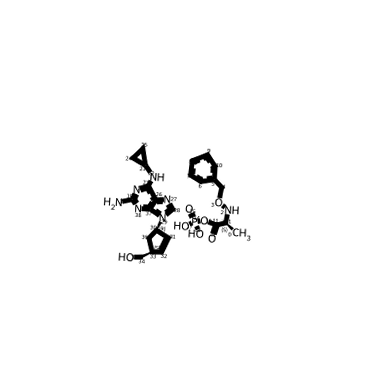 C[C@H](NOCc1ccccc1)C(=O)OP(=O)(O)O.Nc1nc(NC2CC2)c2ncn([C@H]3C=C[C@@H](CO)C3)c2n1